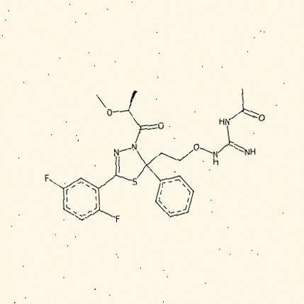 CO[C@@H](C)C(=O)N1N=C(c2cc(F)ccc2F)SC1(CCONC(=N)NC(C)=O)c1ccccc1